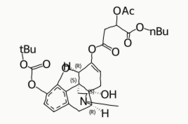 CCCCOC(=O)C(CC(=O)OC1=CC[C@@]2(O)[C@H]3Cc4ccc(OC(=O)OC(C)(C)C)c5c4[C@@]2(CCN3C)[C@H]1O5)OC(C)=O